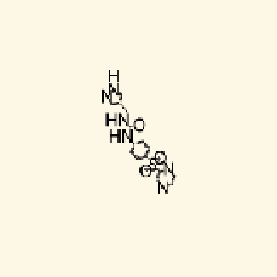 O=C(NCc1cn[nH]c1)Nc1ccc(S(=O)(=O)c2cnccn2)cc1